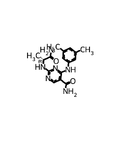 Cc1cc(C)cc(Nc2nc(N[C@H](C)C(N)=O)ncc2C(N)=O)c1